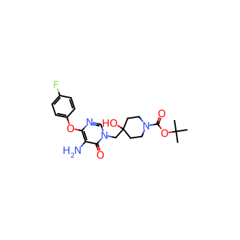 CC(C)(C)OC(=O)N1CCC(O)(Cn2cnc(Oc3ccc(F)cc3)c(N)c2=O)CC1